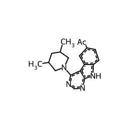 CC(=O)c1ccc2[nH]c3ncnc(N4CC(C)CC(C)C4)c3c2c1